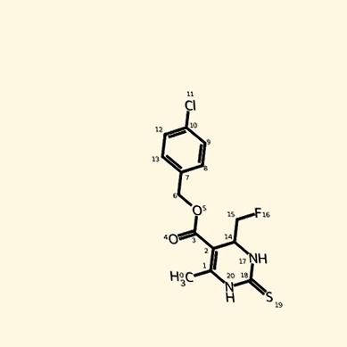 CC1=C(C(=O)OCc2ccc(Cl)cc2)C(CF)NC(=S)N1